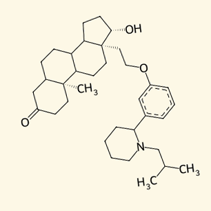 CC(C)CN1CCCCC1c1cccc(OCC[C@]23CCC4C(CCC5CC(=O)CC[C@@]54C)C2CC[C@@H]3O)c1